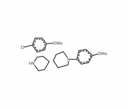 C1CCNCC1.COc1ccc(Cl)cc1.COc1ccc(N2CCCCC2)cc1